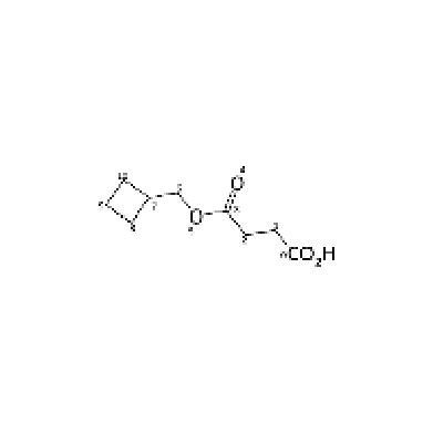 O=C(O)CCC(=O)OCC1CCC1